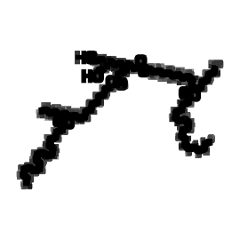 CC/C=C\C/C=C\C/C=C\C/C=C\C/C=C\CCCC(=O)OC(C/C=C\CCCCCCCCOC(=O)CCN(CCCN(CCO)CCO)CCC(=O)OCCCCCCCC/C=C\CC(CCCCCC)OC(=O)CCC/C=C\C/C=C\C/C=C\C/C=C\C/C=C\CC)CCCCCC